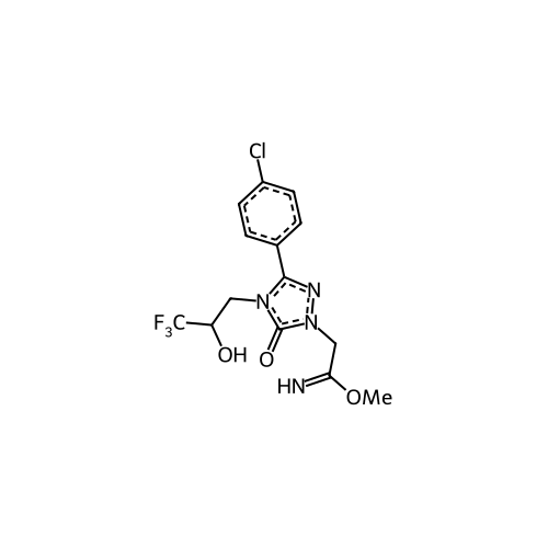 COC(=N)Cn1nc(-c2ccc(Cl)cc2)n(CC(O)C(F)(F)F)c1=O